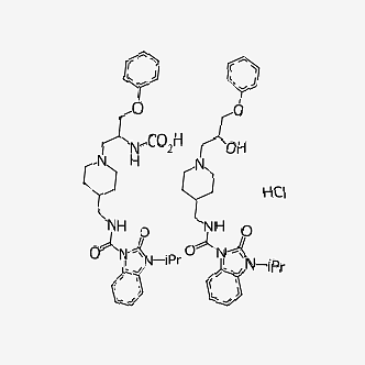 CC(C)n1c(=O)n(C(=O)NCC2CCN(CC(COc3ccccc3)NC(=O)O)CC2)c2ccccc21.CC(C)n1c(=O)n(C(=O)NCC2CCN(CC(O)COc3ccccc3)CC2)c2ccccc21.Cl